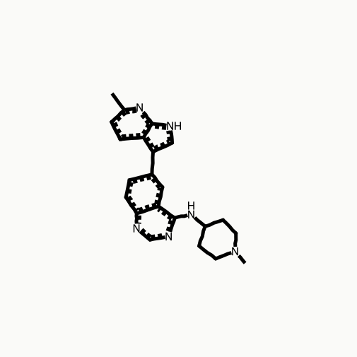 Cc1ccc2c(-c3ccc4ncnc(NC5CCN(C)CC5)c4c3)c[nH]c2n1